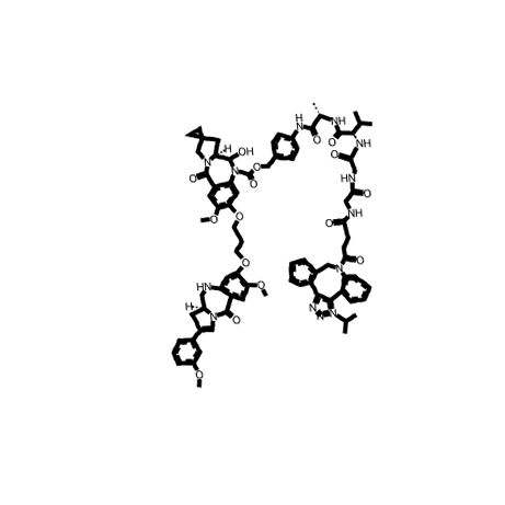 COc1cccc(C2=CN3C(=O)c4cc(OC)c(OCCCOc5cc6c(cc5OC)C(=O)N5CC7(CC7)C[C@H]5C(O)N6C(=O)OCc5ccc(NC(=O)[C@H](C)NC(=O)[C@@H](NC(=O)CNC(=O)CNC(=O)CCC(=O)N6Cc7ccccc7-c7nnn(C(C)C)c7-c7ccccc76)C(C)C)cc5)cc4NC[C@@H]3C2)c1